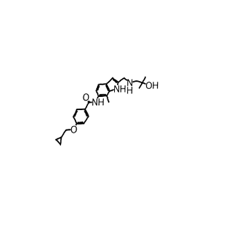 Cc1c(NC(=O)c2ccc(OCC3CC3)cc2)ccc2cc(CNCC(C)(C)O)[nH]c12